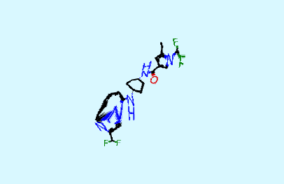 Cc1cc(C(=O)N[C@H]2CC[C@@H](Nc3cccc4nc(C(F)F)cn34)CC2)cn1C(F)F